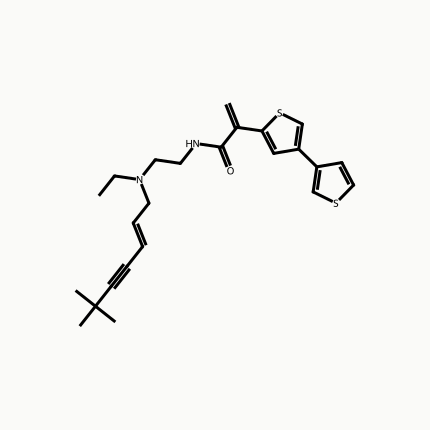 C=C(C(=O)NCCN(CC)CC=CC#CC(C)(C)C)c1cc(-c2ccsc2)cs1